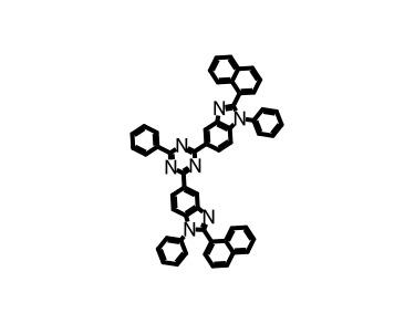 c1ccc(-c2nc(-c3ccc4c(c3)nc(-c3cccc5ccccc35)n4-c3ccccc3)nc(-c3ccc4c(c3)nc(-c3cccc5ccccc35)n4-c3ccccc3)n2)cc1